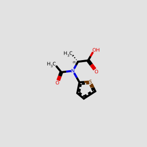 CC(=O)N(c1cccs1)[C@H](C)C(=O)O